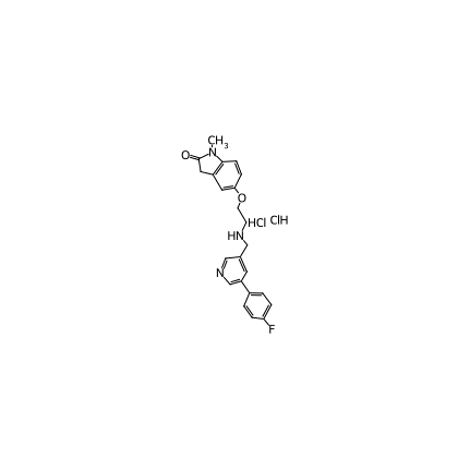 CN1C(=O)Cc2cc(OCCNCc3cncc(-c4ccc(F)cc4)c3)ccc21.Cl.Cl